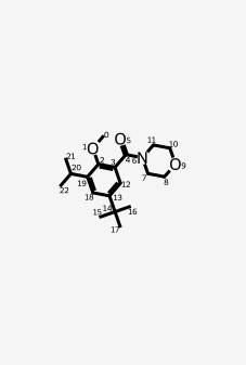 COc1c(C(=O)N2CCOCC2)cc(C(C)(C)C)cc1C(C)C